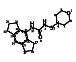 O=C(NSN1CCOCC1)Nc1c2c(cc3c1CCC3)CCC2